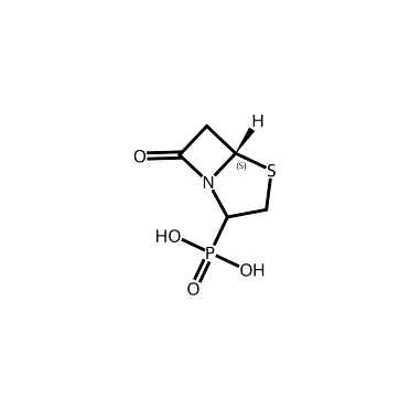 O=C1C[C@@H]2SCC(P(=O)(O)O)N12